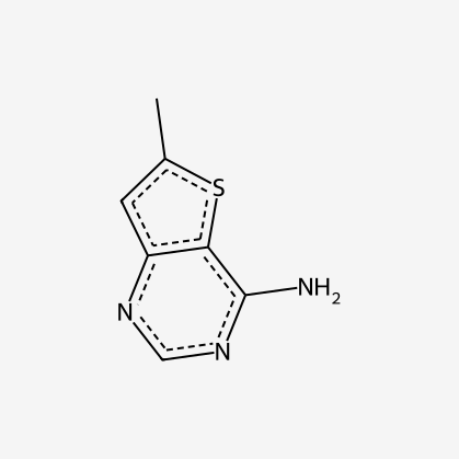 Cc1cc2ncnc(N)c2s1